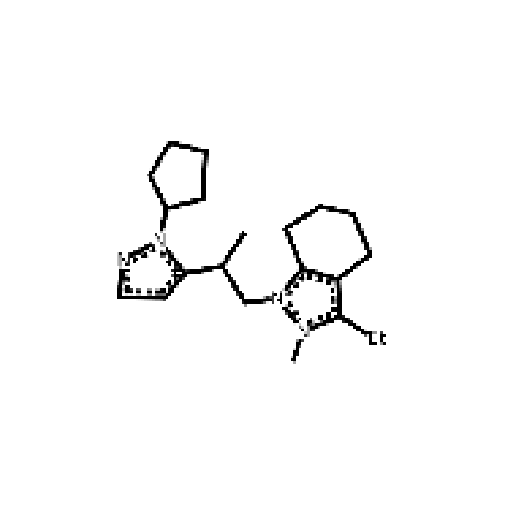 CCc1c2c([n+](CC(C)c3ccnn3C3CCCC3)n1C)CCCC2